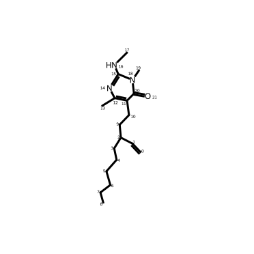 C=CC(CCCCCC)CCc1c(C)nc(NC)n(C)c1=O